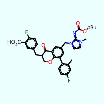 Cc1cc(F)ccc1-c1cc(Cn2ccn(C)c2=NC(=O)OC(C)(C)C)cc2c1OCC(Cc1ccc(F)c(C(=O)O)c1)C2=O